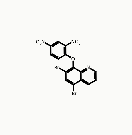 O=[N+]([O-])c1ccc(Oc2c(Br)cc(Br)c3cccnc23)c([N+](=O)[O-])c1